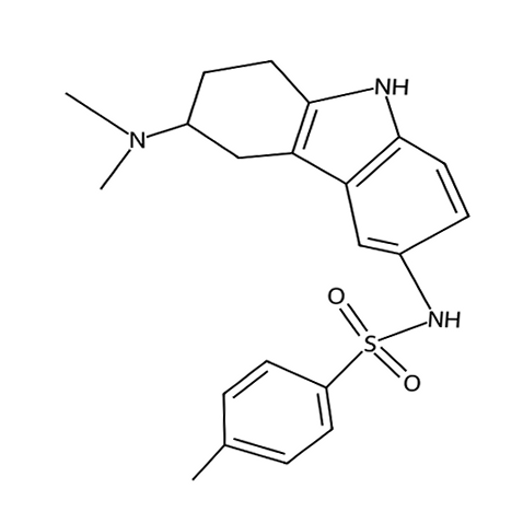 Cc1ccc(S(=O)(=O)Nc2ccc3[nH]c4c(c3c2)CC(N(C)C)CC4)cc1